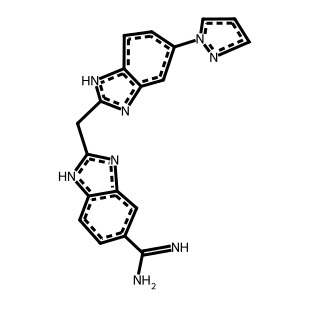 N=C(N)c1ccc2[nH]c(Cc3nc4cc(-n5cccn5)ccc4[nH]3)nc2c1